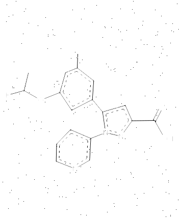 O=C(O)c1cc(-c2cc(F)cc(OC(F)F)c2)n(-c2cccnc2)n1